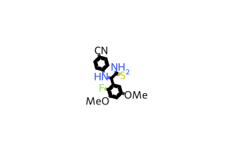 COc1cc(OC)c(F)c(C(Nc2ccc(C#N)cc2)C(N)=S)c1